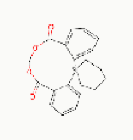 O=C1OCOC(=O)c2ccccc2[Si]2(CCCCC2)c2ccccc21